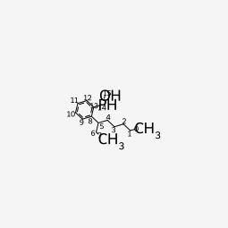 CCCCCC(CC)c1ccccc1PO